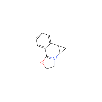 c1ccc2c(c1)C1=[N+](CCO1)C1CC21